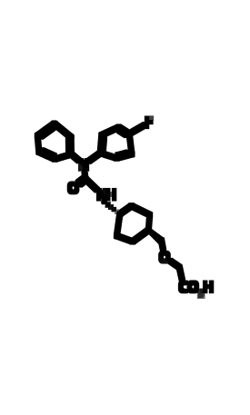 O=C(O)COC[C@H]1CC[C@H](CNC(=O)N(c2ccccc2)c2ccc(F)cc2)CC1